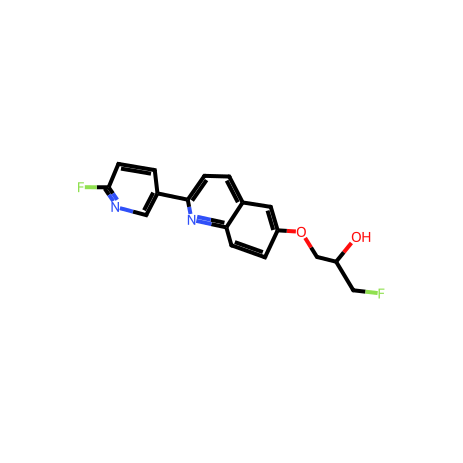 OC(CF)COc1ccc2nc(-c3ccc(F)nc3)ccc2c1